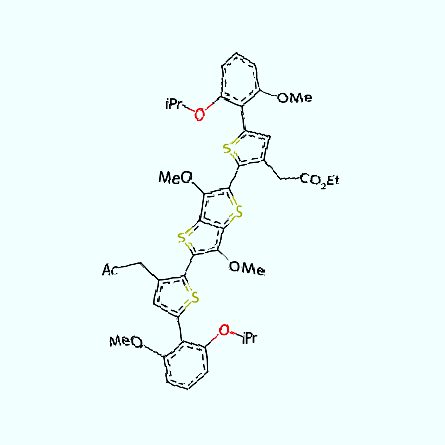 CCOC(=O)Cc1cc(-c2c(OC)cccc2OC(C)C)sc1-c1sc2c(OC)c(-c3sc(-c4c(OC)cccc4OC(C)C)cc3CC(C)=O)sc2c1OC